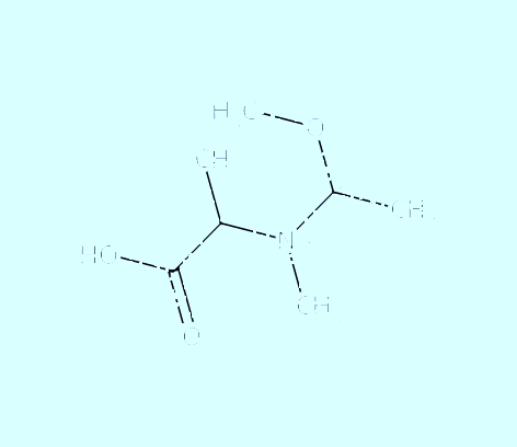 COC(C)N(C)C(C)C(=O)O